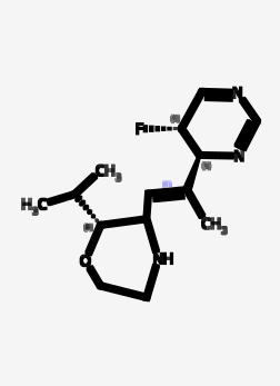 C/C(=C\C1NCCO[C@@H]1C(C)C)[C@@H]1N=CN=C[C@H]1F